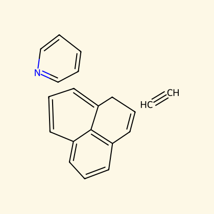 C#C.C1=Cc2cccc3cccc(c23)C1.c1ccncc1